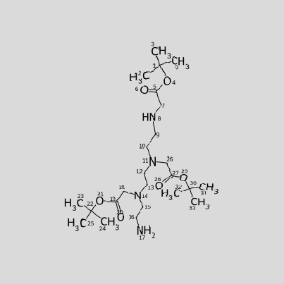 CC(C)(C)OC(=O)CNCCN(CCN(CCN)CC(=O)OC(C)(C)C)CC(=O)OC(C)(C)C